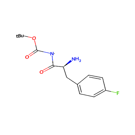 CC(C)(C)OC(=O)[N]C(=O)[C@@H](N)Cc1ccc(F)cc1